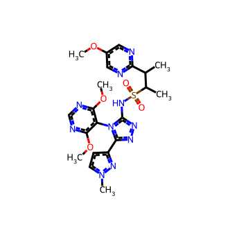 COc1cnc(C(C)C(C)S(=O)(=O)Nc2nnc(-c3ccn(C)n3)n2-c2c(OC)ncnc2OC)nc1